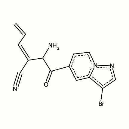 C=C/C=C(/C#N)C(N)C(=O)c1ccn2ncc(Br)c2c1